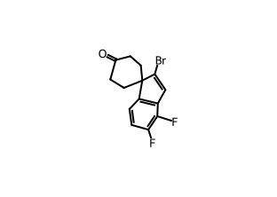 O=C1CCC2(CC1)C(Br)=Cc1c2ccc(F)c1F